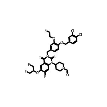 O=CN1CCC(n2c(=O)n(Cc3ccc(OCc4ccc(Cl)c(Cl)c4)c(OCCF)c3)c(=O)c3cc(OC(CF)CF)c(F)cc32)CC1